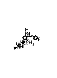 COc1c(C(=O)NCC(=O)NC2CC2)ccc2[nH]nc(C=Cc3ccc(F)cc3)c12